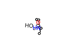 O=C(O)c1[nH]c2c(/C=C/C3CCCCC3)cccc2c1CCCOc1cccc2ccccc12